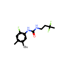 Cc1cc(F)c(NC(=O)NCCC(C)(F)F)cc1C(C)(C)C